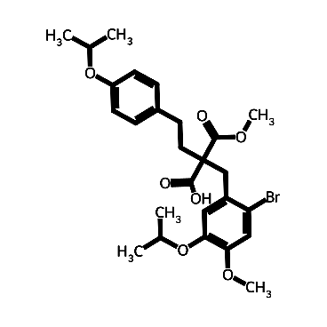 COC(=O)C(CCc1ccc(OC(C)C)cc1)(Cc1cc(OC(C)C)c(OC)cc1Br)C(=O)O